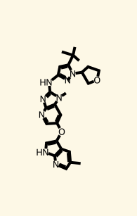 Cc1cnc2[nH]cc(Oc3cnc4nc(Nc5cc(C(C)(C)C)n(C6CCOC6)n5)n(C)c4c3)c2c1